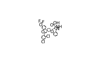 FC(F)Oc1ccc2c(c1)OC(c1ccc(Cl)cc1Cl)=CC21CCCC1.O=C(O)c1[nH]nc2c1COc1ccccc1-2